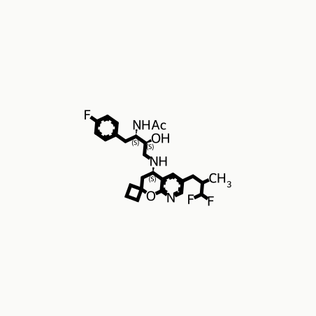 CC(=O)N[C@@H](Cc1ccc(F)cc1)[C@@H](O)CN[C@H]1CC2(CCC2)Oc2ncc(CC(C)C(F)F)cc21